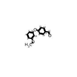 COc1cccc(Oc2ccc([C]=O)cc2)c1